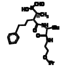 CC(C)OCCNC(=O)C(NC(=O)C(CCCc1ccccc1)[C@H](C)N(O)C=O)C(C)(C)C